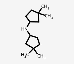 CC1(C)[CH]CC(NC2CCC(C)(C)C2)C1